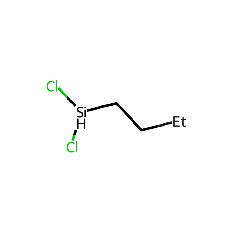 CCCC[SiH](Cl)Cl